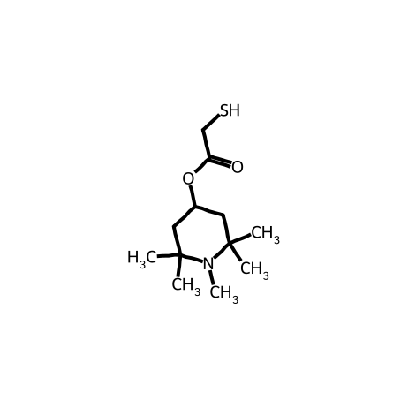 CN1C(C)(C)CC(OC(=O)CS)CC1(C)C